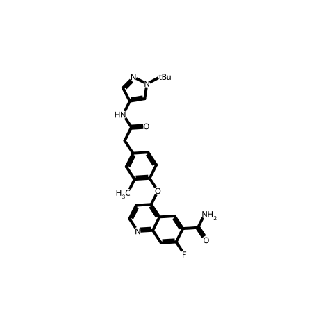 Cc1cc(CC(=O)Nc2cnn(C(C)(C)C)c2)ccc1Oc1ccnc2cc(F)c(C(N)=O)cc12